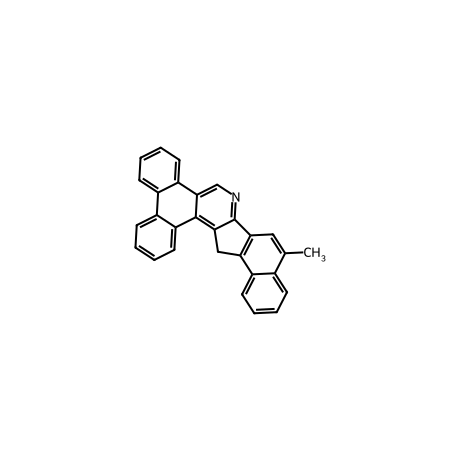 Cc1cc2c(c3ccccc13)Cc1c-2ncc2c3ccccc3c3ccccc3c12